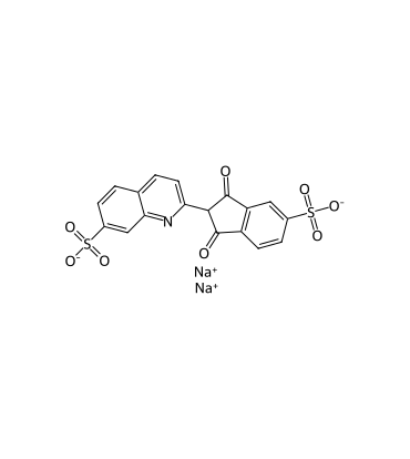 O=C1c2ccc(S(=O)(=O)[O-])cc2C(=O)C1c1ccc2ccc(S(=O)(=O)[O-])cc2n1.[Na+].[Na+]